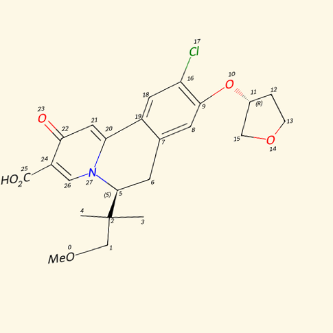 COCC(C)(C)[C@@H]1Cc2cc(O[C@@H]3CCOC3)c(Cl)cc2-c2cc(=O)c(C(=O)O)cn21